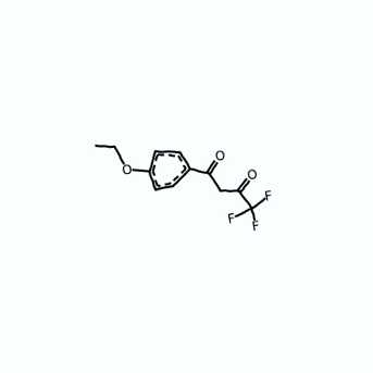 CCOc1ccc(C(=O)CC(=O)C(F)(F)F)cc1